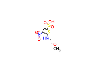 COCCNc1sc(S(=O)(=O)O)cc1[N+](=O)[O-]